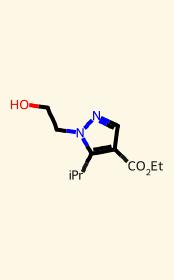 CCOC(=O)c1cnn(CCO)c1C(C)C